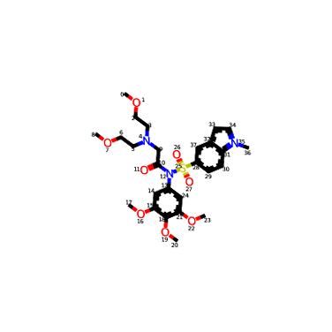 COCCN(CCOC)CC(=O)N(c1cc(OC)c(OC)c(OC)c1)S(=O)(=O)c1ccc2c(ccn2C)c1